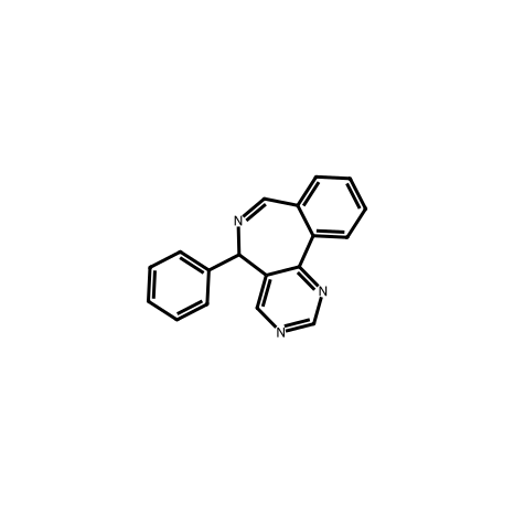 C1=NC(c2ccccc2)c2cncnc2-c2ccccc21